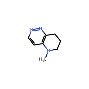 CN1CCCc2nnccc21